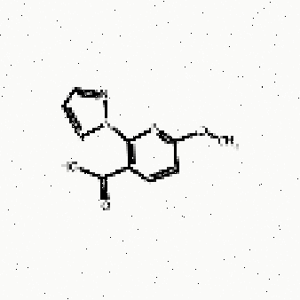 COc1ccc(C(=O)O)c(-n2nccn2)n1